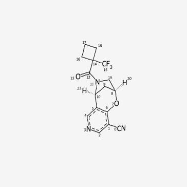 N#Cc1cncc2c1O[C@H]1C[C@@H]2N(C(=O)C2(C(F)(F)F)CCC2)C1